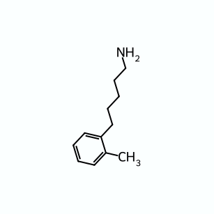 Cc1ccccc1CCCCCN